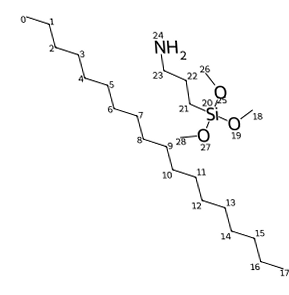 CCCCCCCCCCCCCCCCCC.CO[Si](CCCN)(OC)OC